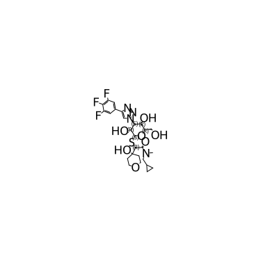 CN(CC1CC1)C(=O)[C@H](S[C@@H]1O[C@H](CO)[C@H](O)[C@H](n2cc(-c3cc(F)c(F)c(F)c3)nn2)[C@H]1O)C1(O)CCOCC1